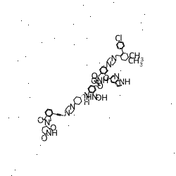 CC1(C)CCC(CN2CCN(c3ccc(C(=O)NS(=O)(=O)c4ccc(NC[C@H]5CC[C@@H](N6CCN(CC#Cc7cccc8c7CN(C7CCC(=O)NC7=O)C8=O)CC6)CC5)c(NO)c4)c(Oc4cnc5[nH]ccc5c4)c3)CC2)=C(c2ccc(Cl)cc2)C1